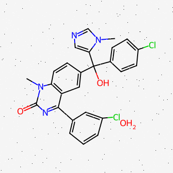 Cn1cncc1C(O)(c1ccc(Cl)cc1)c1ccc2c(c1)c(-c1cccc(Cl)c1)nc(=O)n2C.O